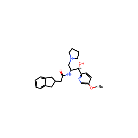 CC(C)(C)Oc1ccc([C@@H](O)C(CN2CCCC2)NC(=O)CC2Cc3ccccc3C2)nc1